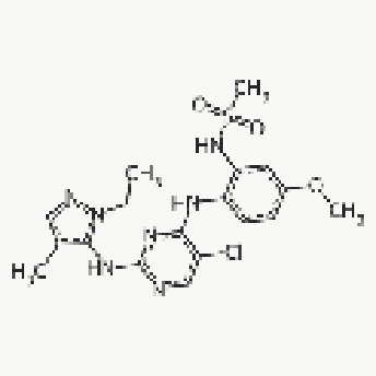 CCn1ncc(C)c1Nc1ncc(Cl)c(Nc2ccc(OC)cc2NS(C)(=O)=O)n1